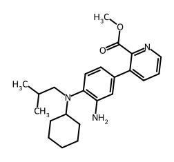 COC(=O)c1ncccc1-c1ccc(N(CC(C)C)C2CCCCC2)c(N)c1